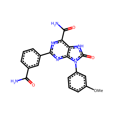 COc1cccc(-n2c(=O)[nH]c3c(C(N)=O)nc(-c4cccc(C(N)=O)c4)nc32)c1